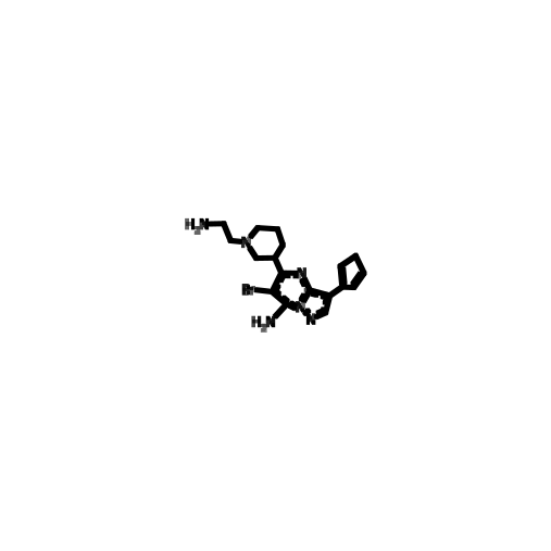 NCCN1CCCC(c2nc3c(C4=CCC=C4)cnn3c(N)c2Br)C1